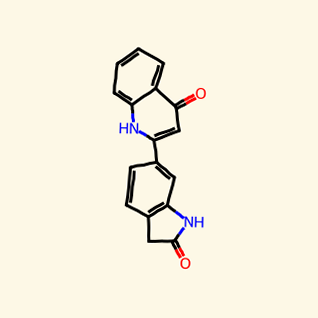 O=C1Cc2ccc(-c3cc(=O)c4ccccc4[nH]3)cc2N1